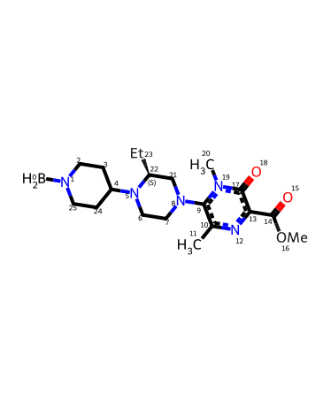 BN1CCC(N2CCN(c3c(C)nc(C(=O)OC)c(=O)n3C)C[C@@H]2CC)CC1